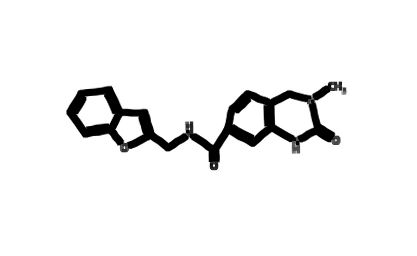 CN1Cc2ccc(C(=O)NCc3cc4ccccc4o3)cc2NC1=O